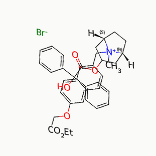 CCOC(=O)COc1ccc2cc(C[N+]3(C)[C@@H]4CC[C@H]3CC(OC(=O)C(O)(c3ccccc3)c3ccccc3)C4)ccc2c1.[Br-]